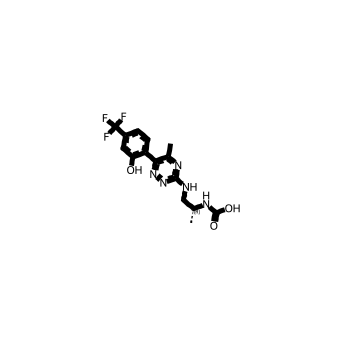 Cc1nc(NC[C@@H](C)NC(=O)O)nnc1-c1ccc(C(F)(F)F)cc1O